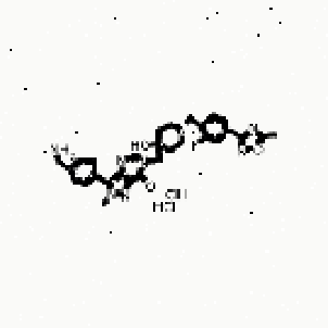 Cc1nc(-c2ccc(CN3CCC(O)(Cn4cnc5c(-c6ccc(CN)cc6)n(C)nc5c4=O)CC3)c(F)c2)no1.Cl.Cl